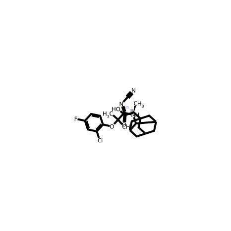 C[C@H](C(=O)O)C12CC3CC(C1)C(N/C(=N\C#N)C(C)(C)Oc1ccc(F)cc1Cl)C(C3)C2